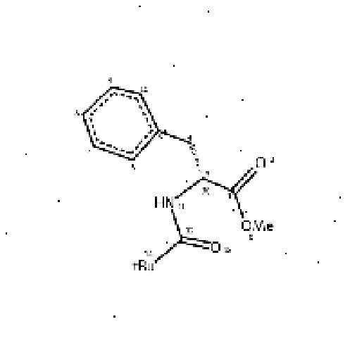 COC(=O)[C@@H](Cc1ccccc1)NC(=O)C(C)(C)C